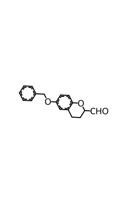 O=CC1CCc2cc(OCc3ccccc3)ccc2O1